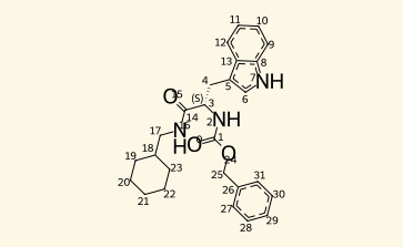 O=C(N[C@@H](Cc1c[nH]c2ccccc12)C(=O)NCC1CCCCC1)OCc1ccccc1